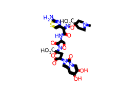 CN1CCC(O/N=C(\C(=O)N[C@H]2CON(C3(C(=O)O)CC(n4cc5cc(O)c(O)cn5c4=O)C(=O)O3)C2=O)c2csc(N)n2)(C(=O)O)CC1